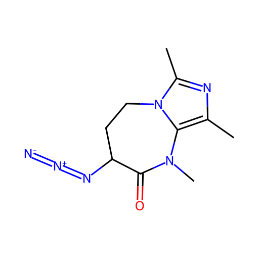 Cc1nc(C)n2c1N(C)C(=O)C(N=[N+]=[N-])CC2